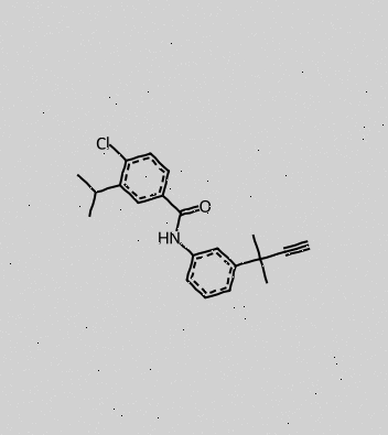 C#CC(C)(C)c1cccc(NC(=O)c2ccc(Cl)c(C(C)C)c2)c1